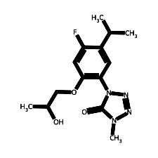 CC(O)COc1cc(F)c(C(C)C)cc1-n1nnn(C)c1=O